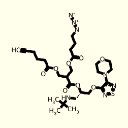 C#CCCCC(=O)OCC(COC(=O)CCCN=[N+]=[N-])C(=O)O[C@@H](CNC(C)(C)C)COc1nsnc1N1CCOCC1